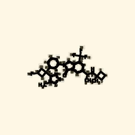 C[C@H](NC1(C)CCC1)c1cc(C(F)(F)F)c2cn(-c3cccc([C@]4(c5nncn5C)C[C@H](F)C4)c3)c(=O)n2c1